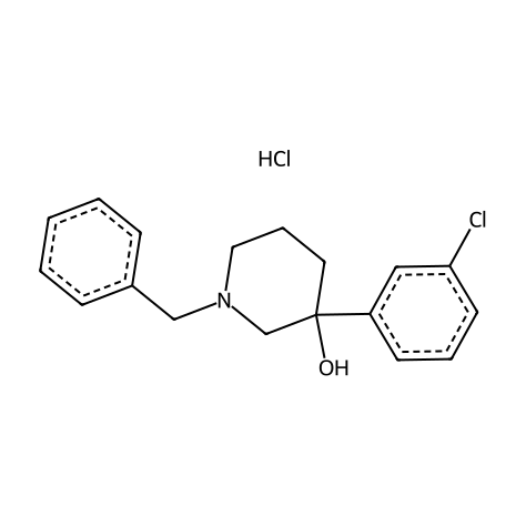 Cl.OC1(c2cccc(Cl)c2)CCCN(Cc2ccccc2)C1